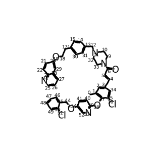 Cc1cc(C=CC(=O)N2CCN(Cc3ccc(CCOc4ccc5ncccc5c4)cc3)CC2)cc(Cl)c1Oc1ccc(OCc2ccccc2Cl)cn1